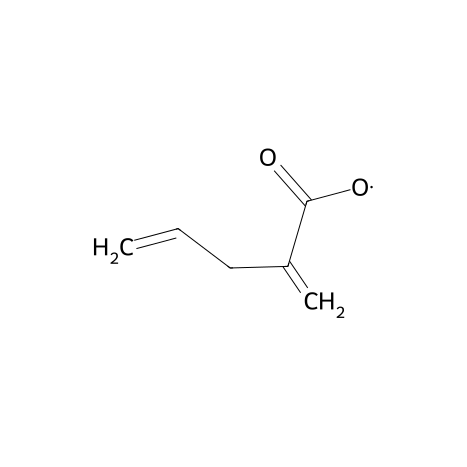 C=CCC(=C)C([O])=O